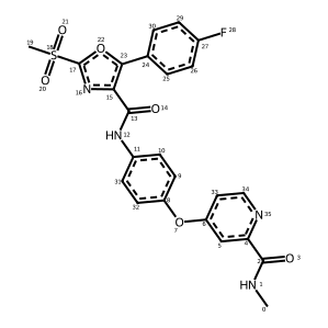 CNC(=O)c1cc(Oc2ccc(NC(=O)c3nc(S(C)(=O)=O)oc3-c3ccc(F)cc3)cc2)ccn1